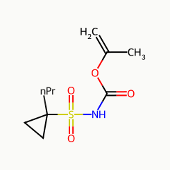 C=C(C)OC(=O)NS(=O)(=O)C1(CCC)CC1